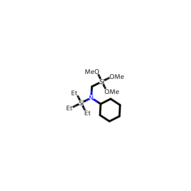 CC[Si](CC)(CC)N(C[Si](OC)(OC)OC)C1CCCCC1